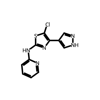 Clc1sc(Nc2ccccn2)nc1-c1cn[nH]c1